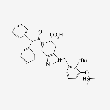 C[SiH](C)Oc1cccc(Cn2cnc3c2CC(C(=O)O)N(C(=O)C(c2ccccc2)c2ccccc2)C3)c1C(C)(C)C